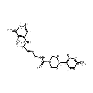 C[C@@H](/C=C/CNC(=O)N1CCN(c2ncc(C(F)(F)F)cn2)CC1)Nc1cn[nH]c(=O)c1C(F)(F)F